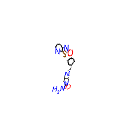 NC(=O)N1CC2CN(CCc3ccc(Oc4nc5cccnc5s4)cc3)CC2C1